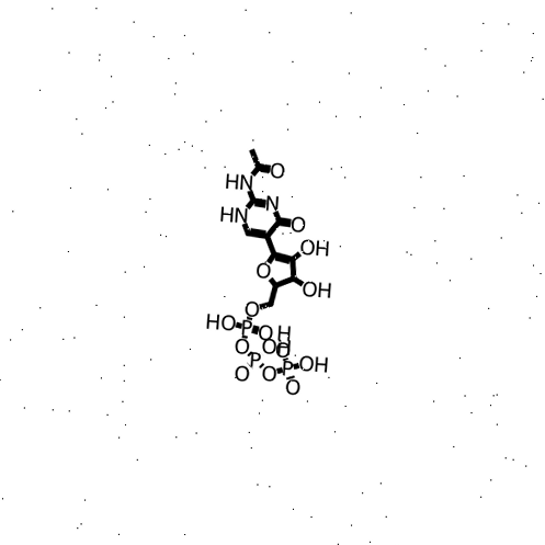 CC(=O)Nc1nc(=O)c(C2=C(O)C(O)C(COP(=O)(O)OP(=O)(O)OP(=O)(O)O)O2)c[nH]1